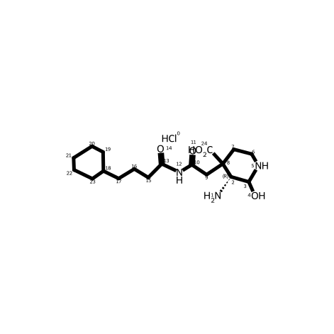 Cl.N[C@H]1C(O)NCCC1(CC(=O)NC(=O)CCCC1CCCCC1)C(=O)O